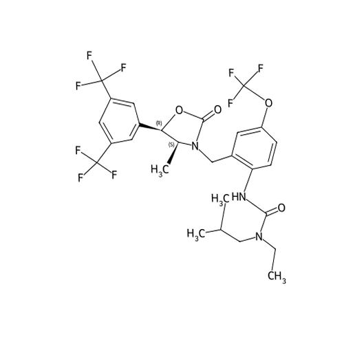 CCN(CC(C)C)C(=O)Nc1ccc(OC(F)(F)F)cc1CN1C(=O)O[C@H](c2cc(C(F)(F)F)cc(C(F)(F)F)c2)[C@@H]1C